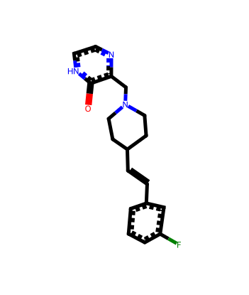 O=c1[nH]ccnc1CN1CCC(/C=C/c2cccc(F)c2)CC1